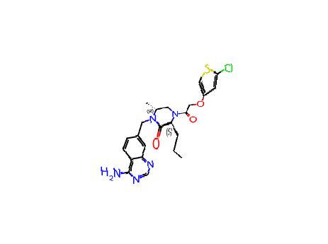 CCC[C@H]1C(=O)N(Cc2ccc3c(N)ncnc3c2)[C@H](C)CN1C(=O)COc1csc(Cl)c1